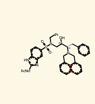 CC(=O)Nc1nc2cc(S(=O)(=O)N(CC(C)C)C[C@@H](O)[C@H](Cc3ccccc3)N(Cc3ccccc3)Cc3ccccc3)ccc2[nH]1